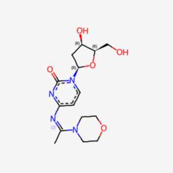 C/C(=N/c1ccn([C@H]2C[C@@H](O)[C@@H](CO)O2)c(=O)n1)N1CCOCC1